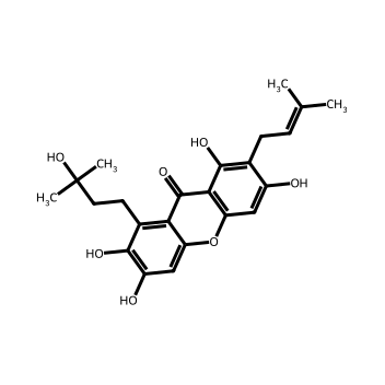 CC(C)=CCc1c(O)cc2oc3cc(O)c(O)c(CCC(C)(C)O)c3c(=O)c2c1O